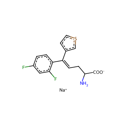 NC(CC=C(c1ccsc1)c1ccc(F)cc1F)C(=O)[O-].[Na+]